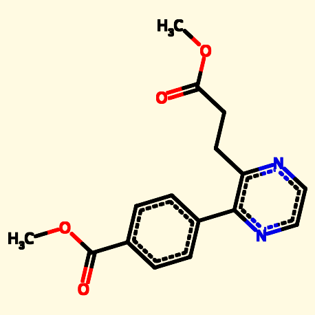 COC(=O)CCc1nccnc1-c1ccc(C(=O)OC)cc1